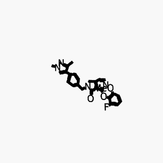 COc1cccc(F)c1Oc1nccc2c1C(=O)N(Cc1ccc(-c3cn(C)nc3C)cc1)C2